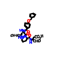 O=CCC[C@H](NC(=O)c1ccc(OCc2ccccc2)cc1)C(=O)N1NCCC[C@H]1C(=O)N[C@H](C=O)CC(=O)O